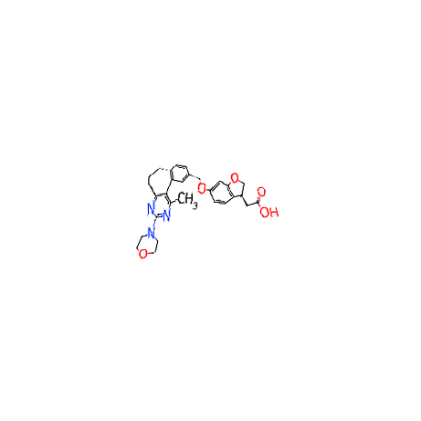 Cc1nc(N2CCOCC2)nc2c1-c1cc(COc3ccc4c(c3)OC[C@H]4CC(=O)O)ccc1CCC2